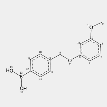 COc1cccc(OCc2ccc(B(O)O)cc2)c1